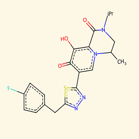 CC(C)N1CC(C)n2cc(-c3nnc(Cc4ccc(F)cc4)s3)c(=O)c(O)c2C1=O